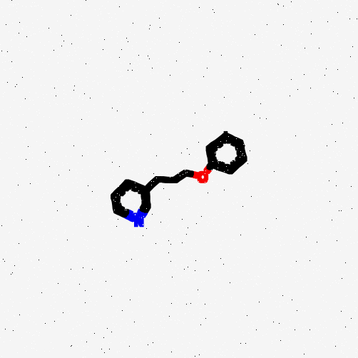 [c]1cccc(OCCCc2cccnc2)c1